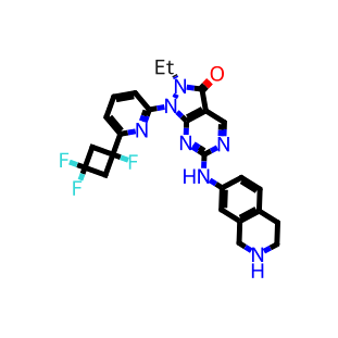 CCn1c(=O)c2cnc(Nc3ccc4c(c3)CNCC4)nc2n1-c1cccc(C2(F)CC(F)(F)C2)n1